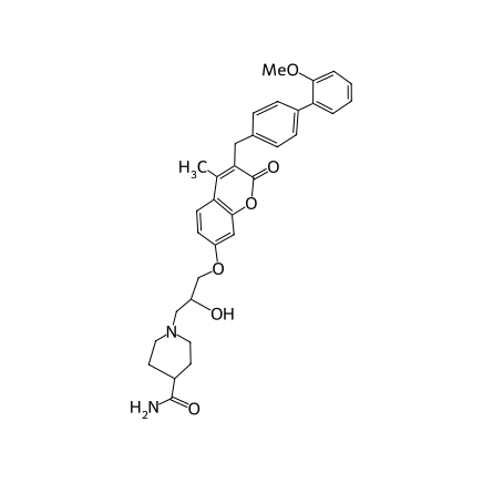 COc1ccccc1-c1ccc(Cc2c(C)c3ccc(OCC(O)CN4CCC(C(N)=O)CC4)cc3oc2=O)cc1